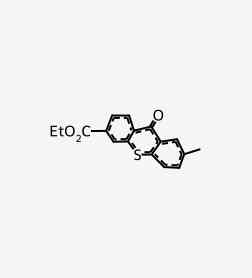 CCOC(=O)c1ccc2c(=O)c3cc(C)ccc3sc2c1